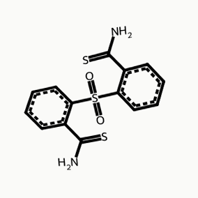 NC(=S)c1ccccc1S(=O)(=O)c1ccccc1C(N)=S